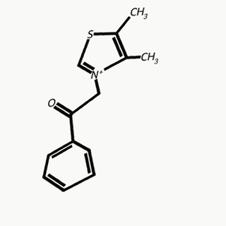 Cc1sc[n+](CC(=O)c2ccccc2)c1C